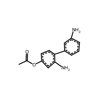 CC(=O)Oc1ccc(-c2cccc(N)c2)c(N)c1